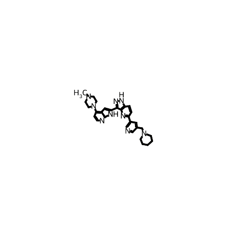 CN1CCN(c2ccnc3[nH]c(-c4n[nH]c5ccc(-c6cncc(CN7CCCCC7)c6)nc45)cc23)CC1